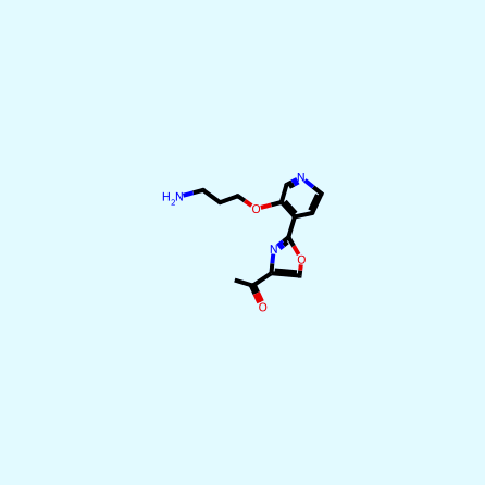 CC(=O)c1coc(-c2ccncc2OCCCN)n1